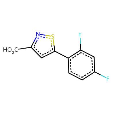 O=C(O)c1cc(-c2ccc(F)cc2F)sn1